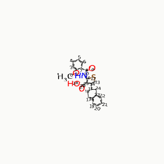 COc1ccccc1C(=O)Nc1scc(C2CCc3ccccc3C2)c1C(=O)O